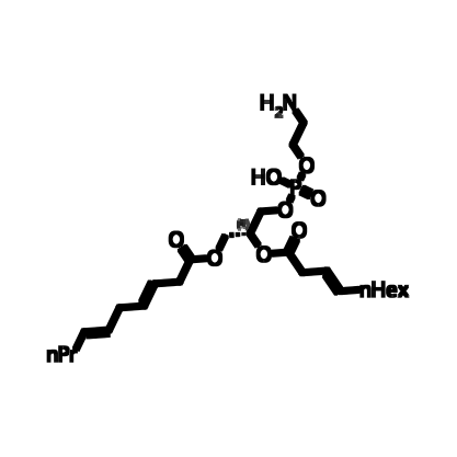 CCCC=CCC=CCC(=O)OC[C@H](COP(=O)(O)OCCN)OC(=O)CC=CCCCCCC